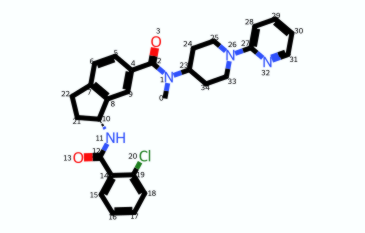 CN(C(=O)c1ccc2c(c1)[C@H](NC(=O)c1ccccc1Cl)CC2)C1CCN(c2ccccn2)CC1